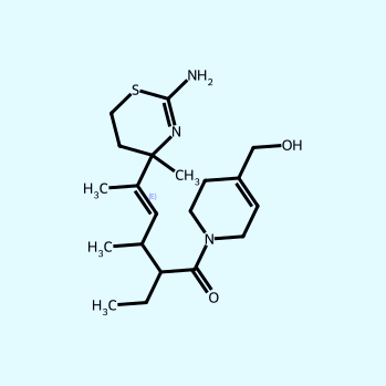 CCC(C(=O)N1CC=C(CO)CC1)C(C)/C=C(\C)C1(C)CCSC(N)=N1